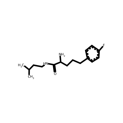 CC(C)CCNC(=O)C(N)CCCc1ccc(F)cc1